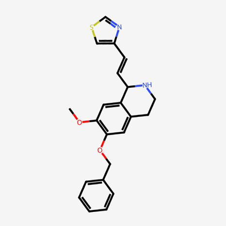 COc1cc2c(cc1OCc1ccccc1)CCNC2/C=C/c1cscn1